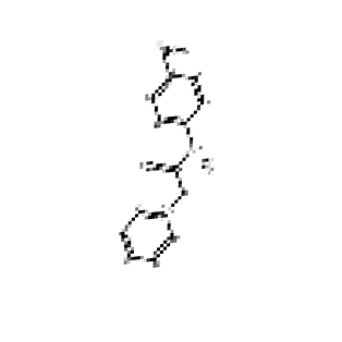 CC(=O)Nc1ccc(OC(=O)C[n+]2ccccc2)cc1.[Cl-]